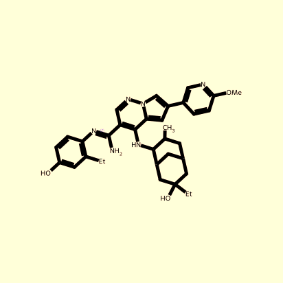 CCc1cc(O)ccc1/N=C(\N)c1cnn2cc(-c3ccc(OC)nc3)cc2c1NC1C(C)CC2CC1CC(O)(CC)C2